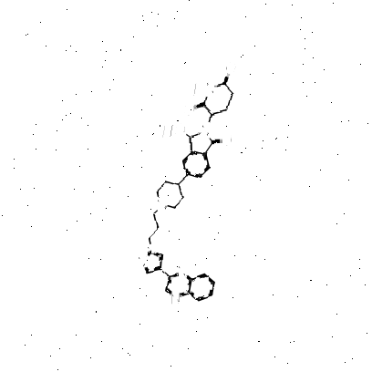 O=C1CCC(N2C(=O)c3ccc(C4CCN(CCCn5cc(-c6cnc7ccccc7n6)cn5)CC4)cc3C2O)C(=O)N1